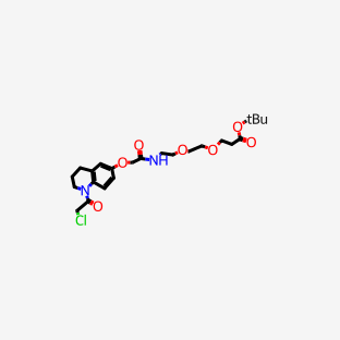 CC(C)(C)OC(=O)CCOCCOCCNC(=O)COc1ccc2c(c1)CCCN2C(=O)CCl